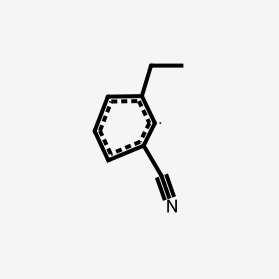 CCc1[c]c(C#N)ccc1